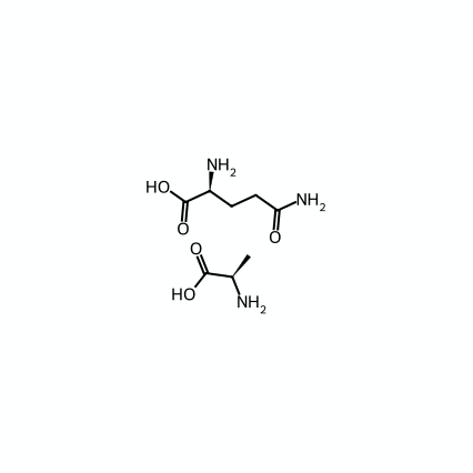 C[C@@H](N)C(=O)O.NC(=O)CC[C@H](N)C(=O)O